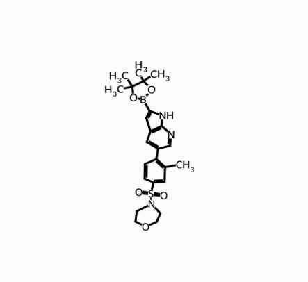 Cc1cc(S(=O)(=O)N2CCOCC2)ccc1-c1cnc2[nH]c(B3OC(C)(C)C(C)(C)O3)cc2c1